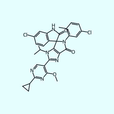 COc1nc(C2CC2)ncc1-c1nc2c(n1C(C)C)C1(C(=O)Nc3cc(Cl)ccc31)N(c1cc(Cl)ccc1C)C2=O